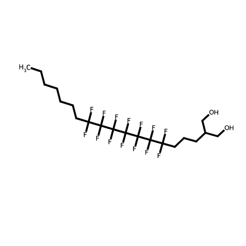 CCCCCCCC(F)(F)C(F)(F)C(F)(F)C(F)(F)C(F)(F)C(F)(F)C(F)(F)CCCC(CO)CO